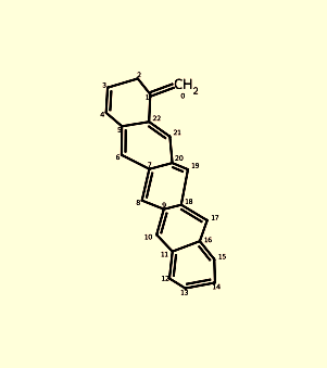 C=C1CC=Cc2cc3cc4cc5ccccc5cc4cc3cc21